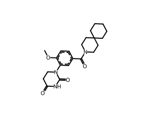 COc1ccc(C(=O)N2CCC3(CCCCC3)CC2)cc1N1CCC(=O)NC1=O